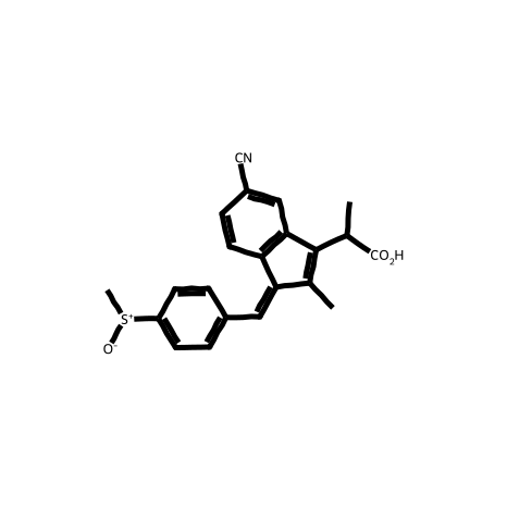 CC1=C(C(C)C(=O)O)c2cc(C#N)ccc2C1=Cc1ccc([S+](C)[O-])cc1